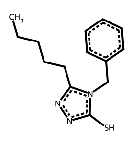 CCCCCc1nnc(S)n1Cc1ccccc1